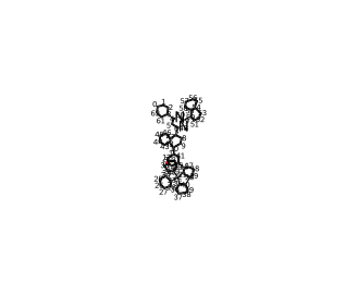 c1ccc(-c2cc(-c3ccc(-c4cccc(-c5cccc6c5C(c5ccccc5)(c5ccccc5)c5ccccc5-6)c4)c4ccccc34)nc(-c3cccc4ccccc34)n2)cc1